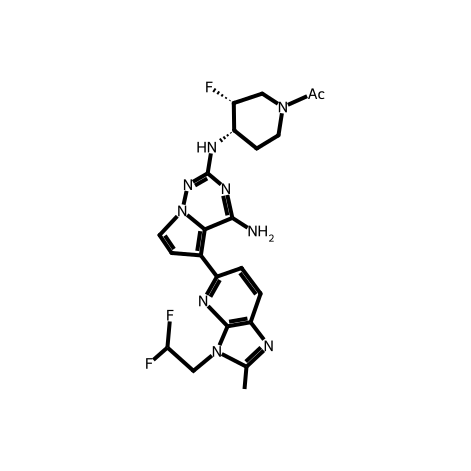 CC(=O)N1CC[C@H](Nc2nc(N)c3c(-c4ccc5nc(C)n(CC(F)F)c5n4)ccn3n2)[C@H](F)C1